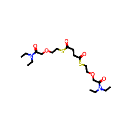 CCN(CC)C(=O)COCCSC(=O)CCC(=O)SCCOCC(=O)N(CC)CC